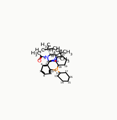 CC(=O)N1C(c2ccccc2P(C2CCCCC2)C2CCCCC2)=N[C@H](C(C)(C)C)[C@H]1C(C)(C)C